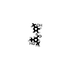 Cc1cc(C(C)(C)C)c(O)c(C)c1CSC(=O)c1cc(C(C)(C)C)c(O)c(C(C)(C)C)c1